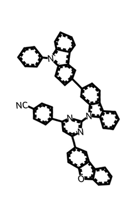 N#Cc1ccc(-c2cc(-c3ccc4oc5ccccc5c4c3)nc(-n3c4ccccc4c4ccc(-c5ccc6c(c5)c5ccccc5n6-c5ccccc5)cc43)n2)cc1